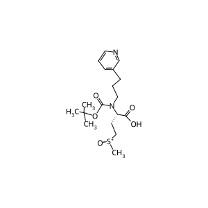 C[S+]([O-])CC[C@@H](C(=O)O)N(CCCc1cccnc1)C(=O)OC(C)(C)C